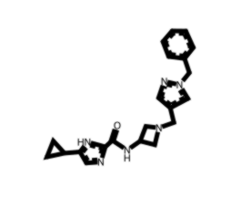 O=C(NC1CN(Cc2cnn(Cc3ccccc3)c2)C1)c1ncc(C2CC2)[nH]1